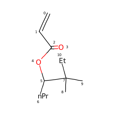 C=CC(=O)OC(CCC)C(C)(C)CC